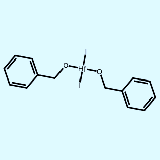 [I][Hf]([I])([O]Cc1ccccc1)[O]Cc1ccccc1